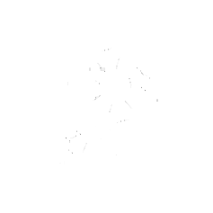 CCCCCC(C)(C)N1C(=O)c2cc(CC(C)(C)c3cn(C(C)(C)C)nn3)ccc2-c2c(nnn2C(C)(C)C)-c2ccccc21